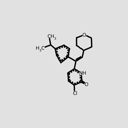 CC(C)c1ccc(/C(=C\C2CCOCC2)c2ccc(Cl)c(=O)[nH]2)cc1